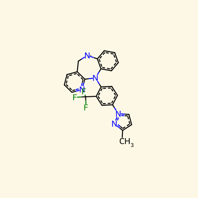 Cc1ccn(-c2ccc(N3c4ccccc4[N]Cc4cccnc43)c(C(F)(F)F)c2)n1